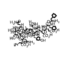 CC(C)C[C@H](NC(=O)[C@H](CC(N)=O)NC(=O)[C@H](CO)NC(=O)[C@H](CO)NC(=O)[C@H](CO)NC(=O)[C@H](CCC(N)=O)NC(=O)[C@@H](NC(=O)[C@H](CCCNC(=N)N)NC(=O)[C@H](Cc1ccc(O)cc1)NC(=O)[C@H](CC(C)C)NC(=O)[C@H](CCC(=O)O)NC(=O)[C@H](CCC(=O)O)NC(=O)[C@H](Cc1ccccc1)NC(=O)[C@@H](N)Cc1ccccc1)[C@@H](C)O)C(=O)O